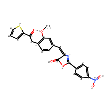 COc1cc(/C=C2/N=C(c3ccc([N+](=O)[O-])cc3)OC2=O)ccc1CC(=O)c1cccs1